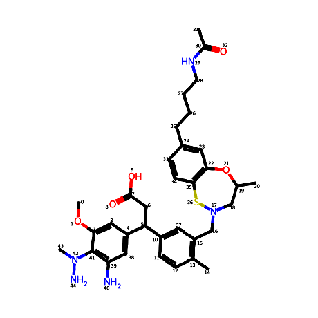 COc1cc(C(CC(=O)O)c2ccc(C)c(CN3CC(C)Oc4cc(CCCCNC(C)=O)ccc4S3)c2)cc(N)c1N(C)N